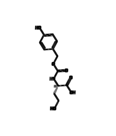 O=C(N[C@@H](CCO)C(=O)O)OCc1ccc(O)cc1